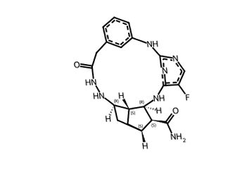 NC(=O)[C@H]1[C@H]2C[C@H]3[C@H]1Nc1nc(ncc1F)Nc1cccc(c1)CC(=O)NN[C@@H]3C2